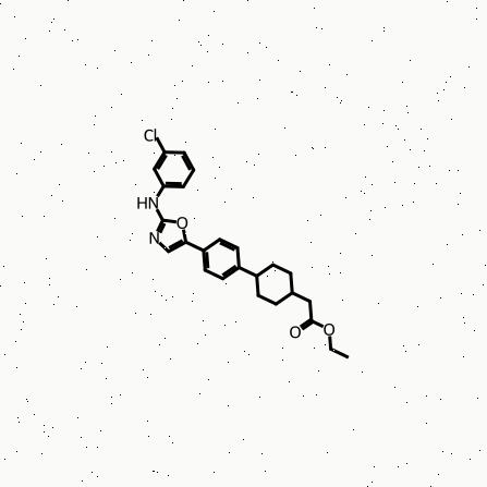 CCOC(=O)CC1CCC(c2ccc(-c3cnc(Nc4cccc(Cl)c4)o3)cc2)CC1